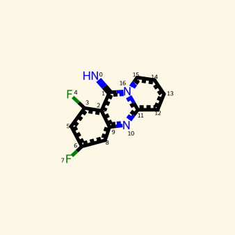 N=c1c2c(F)cc(F)cc2nc2ccccn12